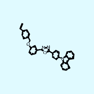 C=Cc1ccc(COc2cccc(-c3nnc(-c4ccc(-n5c6ccccc6c6ccccc65)cc4)o3)c2)cc1